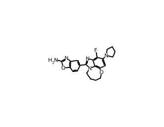 Nc1nc2cc(-c3nc4c(F)c(N5CCCC5)cc5c4n3CCCCO5)ccc2o1